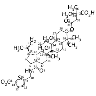 C=C(C)[C@@H]1CC[C@]2(C(=O)NCc3ccc(C(=O)O)s3)CC[C@]3(C)C(CCC4[C@@]5(C)CCC(OC(=O)CC(C)(C)C(=O)O)C(C)(C)C5CC[C@]43C)C12